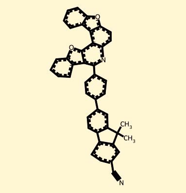 CC1(C)c2cc(C#N)ccc2-c2ccc(-c3ccc(-c4nc5ccc6oc7ccccc7c6c5c5oc6ccccc6c45)cc3)cc21